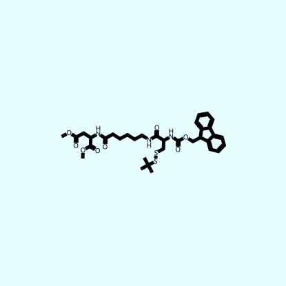 COC(=O)CC(NC(=O)CCCCCNC(=O)C(CSSC(C)(C)C)NC(=O)OCC1c2ccccc2-c2ccccc21)C(=O)OC